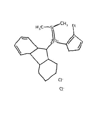 CCC1=[C]([Zr+2]([CH]2C3C=CC=CC3C3CCCCC32)=[Si](C)C)CC=C1.[Cl-].[Cl-]